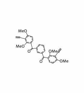 C#Cc1c(OC)ccc(C(=O)c2cccc(C(=O)c3ccc(OC)c(C#C)c3OC)c2)c1OC